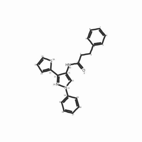 O=C(CCc1ccccc1)Nc1cn(-c2ccccc2)nc1-c1cccs1